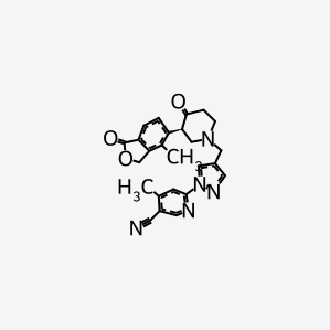 Cc1cc(-n2cc(CN3CCC(=O)[C@H](c4ccc5c(c4C)COC5=O)C3)cn2)ncc1C#N